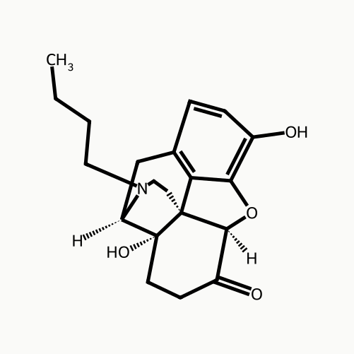 CCCCN1CC[C@]23c4c5ccc(O)c4O[C@H]2C(=O)CC[C@@]3(O)[C@H]1C5